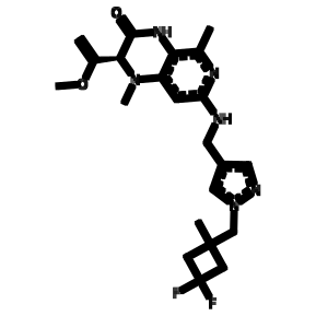 C=C(OC)[C@H]1C(=O)Nc2c(cc(NCc3cnn(CC4(C)CC(F)(F)C4)c3)nc2C)N1C